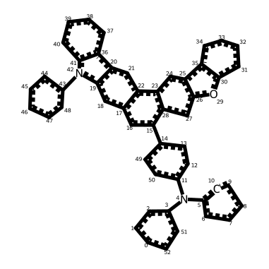 c1ccc(N(c2ccccc2)c2ccc(-c3cc4cc5c(cc4c4cc6c(cc34)oc3ccccc36)c3ccccc3n5-c3ccccc3)cc2)cc1